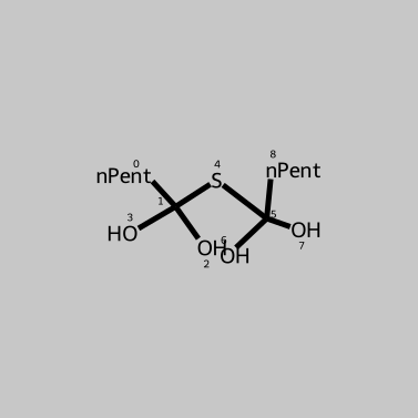 CCCCCC(O)(O)SC(O)(O)CCCCC